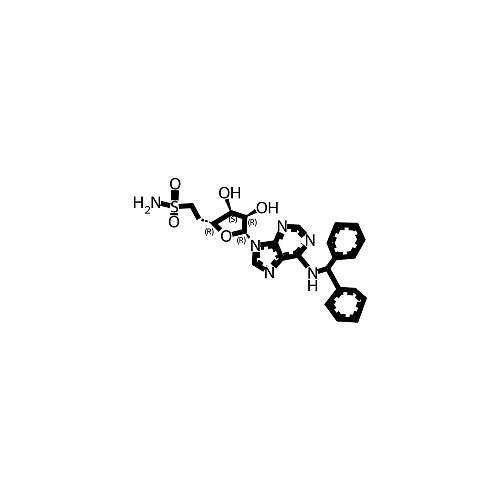 NS(=O)(=O)CC[C@H]1O[C@@H](n2cnc3c(NC(c4ccccc4)c4ccccc4)ncnc32)[C@H](O)[C@@H]1O